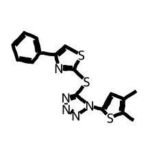 Cc1cc(-n2nnnc2Sc2nc(-c3ccccc3)cs2)sc1C